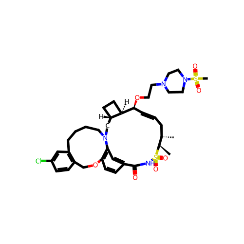 C[C@@H]1[C@@H](C)C/C=C/[C@H](OCCN2CCN(S(C)(=O)=O)CC2)[C@@H]2CC[C@H]2CN2CCCCc3cc(Cl)ccc3COc3ccc(cc32)C(=O)NS1(=O)=O